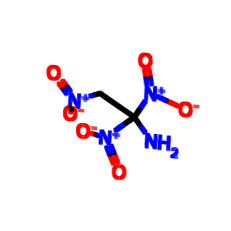 NC(C[N+](=O)[O-])([N+](=O)[O-])[N+](=O)[O-]